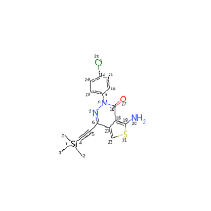 C[Si](C)(C)C#Cc1nn(-c2ccc(Cl)cc2)c(=O)c2c(N)scc12